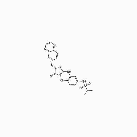 CC(C)S(=O)(=O)Nc1ccc(Cl)c(NC2=NC(=O)/C(=C/c3ccc4nccnc4c3)S2)c1